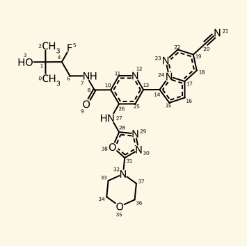 CC(C)(O)C(F)CNC(=O)c1cnc(-c2ccc3cc(C#N)cnn23)cc1Nc1nnc(N2CCOCC2)o1